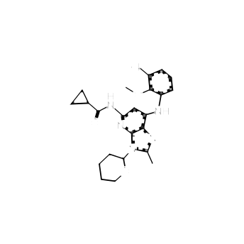 COc1c(Cl)cccc1Nc1cc(NC(=O)C2CC2)nc2c1nc(C)n2C1CCCCO1